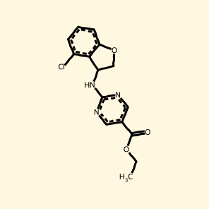 CCOC(=O)c1cnc(NC2COc3cccc(Cl)c32)nc1